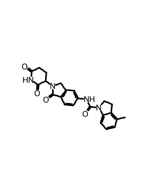 Cc1cccc2c1CCN2C(=O)Nc1ccc2c(c1)CN(C1CCC(=O)NC1=O)C2=O